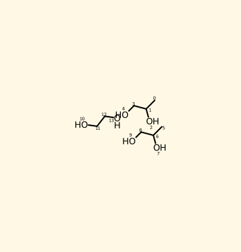 CC(O)CO.CC(O)CO.OCCO